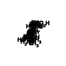 CC(C)C[C@H](NC(=O)[C@H](Cc1ccc(O)cc1)NC(=O)[C@@H](NC(=O)[C@H](C)N)[C@@H](C)O)C(=O)NCC(=O)N[C@@H](CO)C(=O)N[C@@H](Cc1ccccc1)C(=O)O